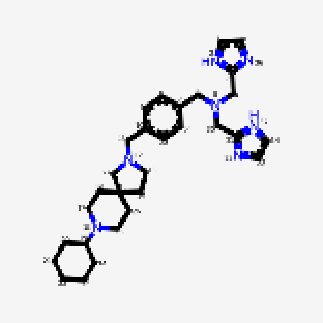 c1c[nH]c(CN(Cc2ccc(CN3CCC4(CCN(C5CCCCC5)CC4)C3)cc2)Cc2ncc[nH]2)n1